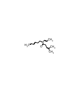 C=CC=CCCN(C=CC)C(=O)CC=C(C)C